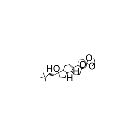 CC(C)(C)C#C[C@]1(O)CC[C@H]2[C@@H]3CC[C@@]45CC6(CC[C@@]4(O5)C3=CC[C@@]21C)OCCO6